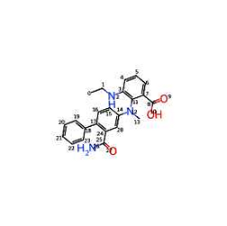 CCNc1cccc(C(=O)O)c1N(C)c1ccc(-c2ccccc2)c(C(N)=O)c1